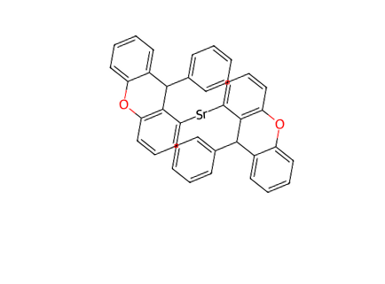 c1ccc(C2c3ccccc3Oc3ccc[c]([Sr][c]4cccc5c4C(c4ccccc4)c4ccccc4O5)c32)cc1